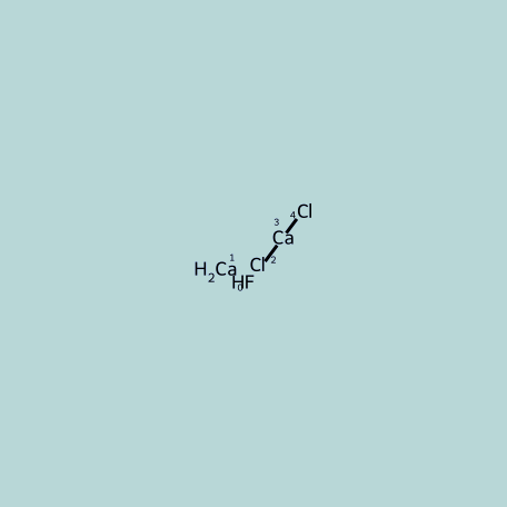 F.[CaH2].[Cl][Ca][Cl]